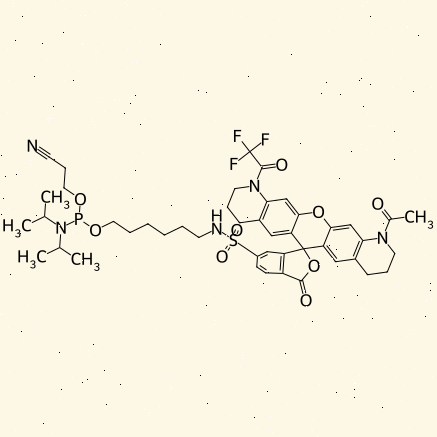 CC(=O)N1CCCc2cc3c(cc21)Oc1cc2c(cc1C31OC(=O)c3ccc(S(=O)(=O)NCCCCCCOP(OCCC#N)N(C(C)C)C(C)C)cc31)CCCN2C(=O)C(F)(F)F